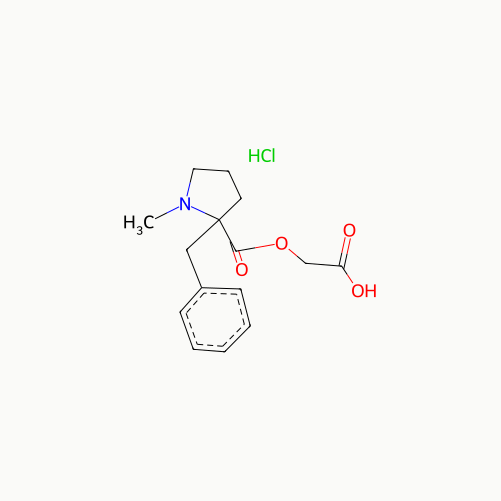 CN1CCCC1(Cc1ccccc1)C(=O)OCC(=O)O.Cl